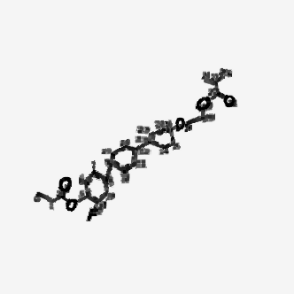 C=CC(=O)Oc1ccc(-c2ccc(-c3ccc(O/C=C\OC(=O)C(=C)C)cc3)cc2)cc1F